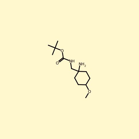 COC1CCC(N)(CNC(=O)OC(C)(C)C)CC1